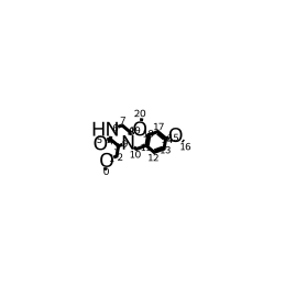 COCC1C(=O)NCCN1Cc1ccc(OC)cc1OC